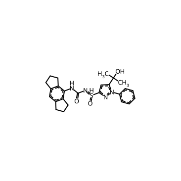 CC(C)(O)c1cc(/[SH](=O)=N/C(=O)Nc2c3c(cc4c2CCC4)CCC3)nn1-c1ccccc1